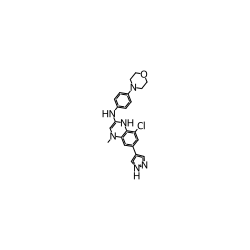 CN1C=C(Nc2ccc(N3CCOCC3)cc2)Nc2c(Cl)cc(-c3cn[nH]c3)cc21